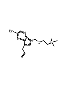 C=CCc1cn(COCC[Si](C)(C)C)c2ncc(Br)nc12